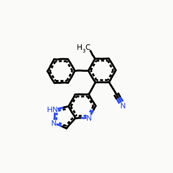 Cc1ccc(C#N)c(-c2cnc3cn[nH]c3c2)c1-c1ccccc1